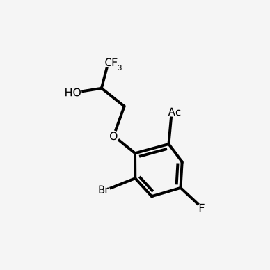 CC(=O)c1cc(F)cc(Br)c1OCC(O)C(F)(F)F